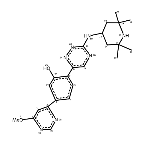 COc1cc(-c2ccc(-c3cnc(NC4CC(C)(C)NC(C)(C)C4)nn3)c(O)c2)ncn1